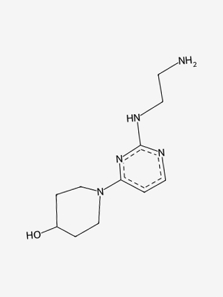 NCCNc1nccc(N2CCC(O)CC2)n1